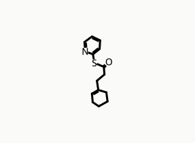 O=C(CCC1=CCCCC1)Sc1ccccn1